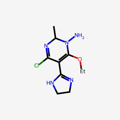 CCOC1=C(C2=NCCN2)C(Cl)=NC(C)N1N